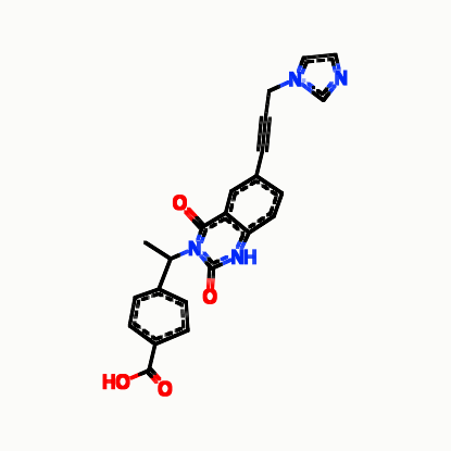 CC(c1ccc(C(=O)O)cc1)n1c(=O)[nH]c2ccc(C#CCn3ccnc3)cc2c1=O